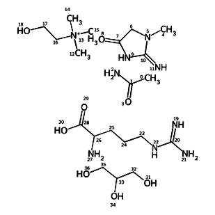 CC(N)=O.CN1CC(=O)NC1=N.C[N+](C)(C)CCO.N=C(N)NCCCC(N)C(=O)O.OCC(O)CO